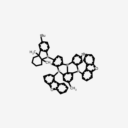 Cc1cc2c3c(c1)N(c1cccc4oc5ccccc5c14)c1cc(C(C)(C)C)ccc1B3c1ccc(N3c4ccc(C(C)(C)C)cc4C4(C)CCCCC34C)cc1N2c1cccc2oc3ccccc3c12